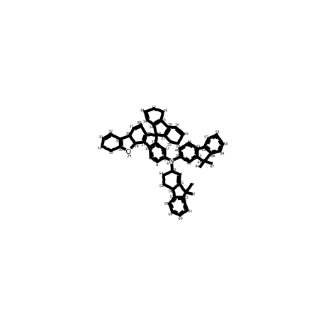 CC1(C)C2=CC(N(c3ccc4c(c3)C3(C5=C(CCC=C5)C5=C3CCC=C5)C3=C4C4OC5=C(C=CCC5)C4C=C3)c3ccc4c(c3)C(C)(C)c3ccccc3-4)CCC2c2ccccc21